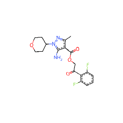 Cc1nn(C2CCOCC2)c(N)c1C(=O)OCC(=O)c1c(F)cccc1F